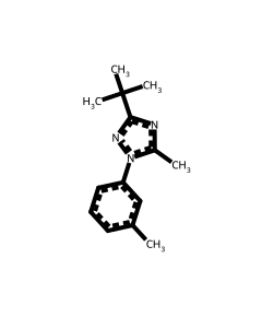 Cc1cccc(-n2nc(C(C)(C)C)nc2C)c1